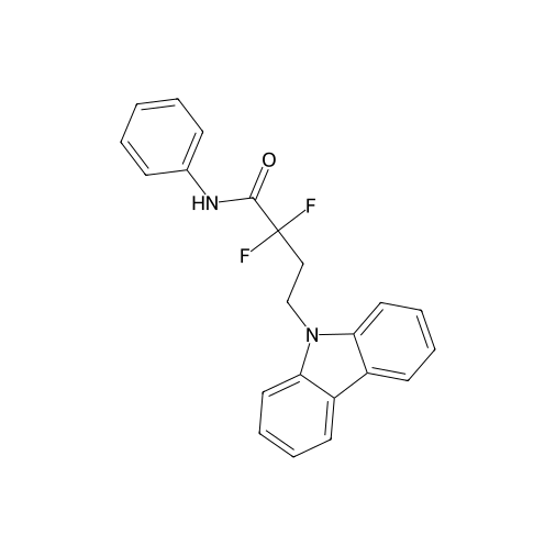 O=C(Nc1ccccc1)C(F)(F)CCn1c2ccccc2c2ccccc21